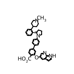 CN1CCC(c2ccccc2[C@H]2CCCN2c2ccc(-c3ccc(C(=O)O)c(Oc4cnc5[nH]ccc5c4)c3)cc2)CC1